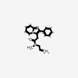 C=CCN(C)C(=O)Cc1c(-c2ccccc2)nc2ccccn12